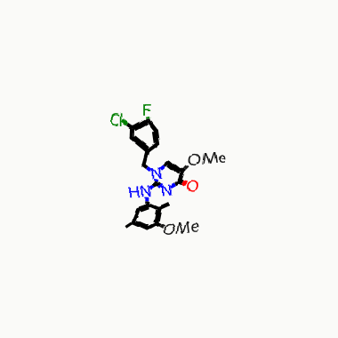 COc1cc(C)cc(Nc2nc(=O)c(OC)cn2Cc2ccc(F)c(Cl)c2)c1C